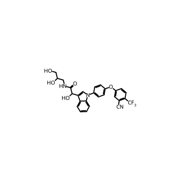 N#Cc1cc(Oc2ccc(-n3cc(C(O)C(=O)NCC(O)CO)c4ccccc43)cc2)ccc1C(F)(F)F